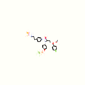 CC(=O)O[C@@H](CCC1C(=O)N(c2ccc(CCCNS(C)(=O)=O)cc2)[C@@H]1c1ccc(OS(=O)(=O)C(F)(F)F)cc1)c1ccc(F)cc1